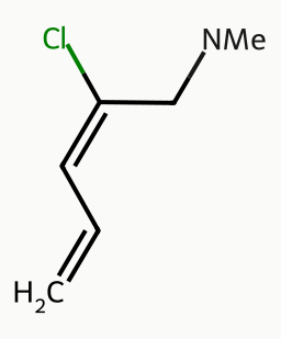 C=C/C=C(/Cl)CNC